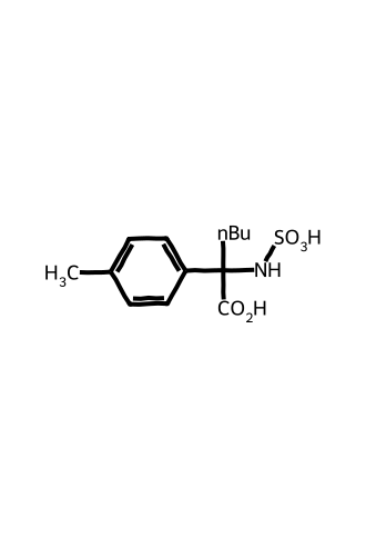 CCCCC(NS(=O)(=O)O)(C(=O)O)c1ccc(C)cc1